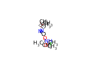 CCC(C)/C=C(\C=C/C(C)=C1CCC1)n1ncc2cc(OCC(NC(=O)C(C)(C)F)C(C)C)ccc21